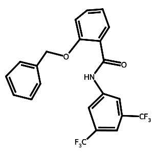 O=C(Nc1cc(C(F)(F)F)cc(C(F)(F)F)c1)c1ccccc1OCc1ccccc1